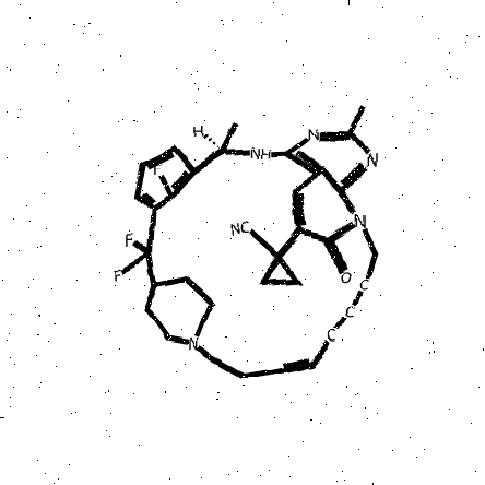 Cc1nc2c3cc(C4(C#N)CC4)c(=O)n(c3n1)CCCC/C=C\CN1CCC(CC1)C(F)(F)c1cccc(c1F)[C@@H](C)N2